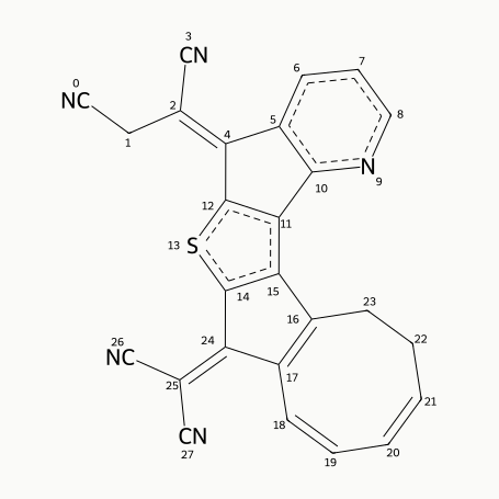 N#CC/C(C#N)=C1/c2cccnc2-c2c1sc1c2C2=C(/C=C\C=C/CC2)C1=C(C#N)C#N